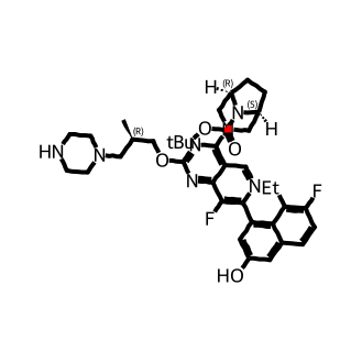 CCc1c(F)ccc2cc(O)cc(-c3ncc4c(N5C[C@H]6CC[C@@H](C5)N6C(=O)OC(C)(C)C)nc(OC[C@H](C)CN5CCNCC5)nc4c3F)c12